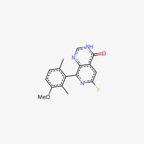 COc1ccc(C)c(-c2nc(F)cc3c(=O)[nH]cnc23)c1C